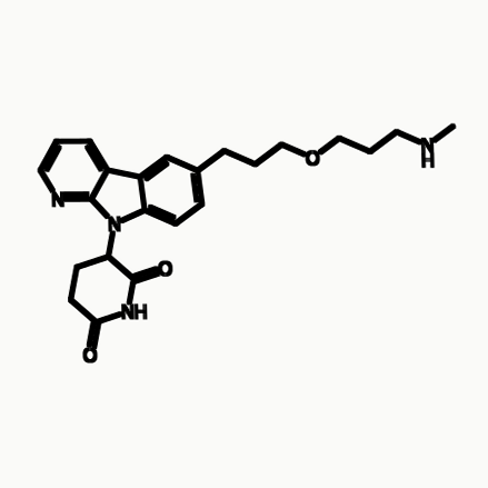 CNCCCOCCCc1ccc2c(c1)c1cccnc1n2C1CCC(=O)NC1=O